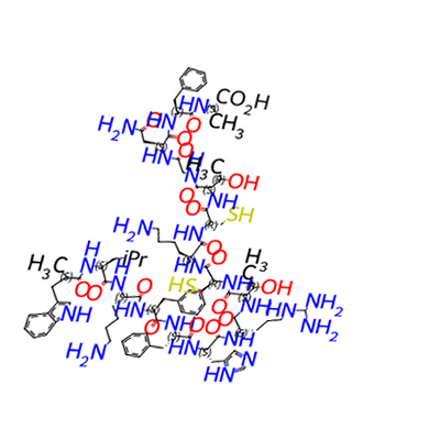 CC(C)C[C@H](NC(=O)[C@@H](C)Cc1c[nH]c2ccccc12)C(=O)N[C@@H](CCCCN)C(=O)N[C@@H](Cc1ccccc1)C(=O)N[C@@H](Cc1ccccc1)C(=O)N[C@@H](Cc1cnc[nH]1)C(=O)N[C@@H](CCCNC(N)N)C(=O)N[C@H](C(=O)N[C@@H](CS)C(=O)N[C@@H](CCCCN)C(=O)N[C@@H](CS)C(=O)N[C@H](C(=O)NCC(=O)N[C@@H](CC(N)=O)C(=O)N[C@@H](Cc1ccccc1)C(=O)N[C@@H](C)C(=O)O)[C@@H](C)O)[C@@H](C)O